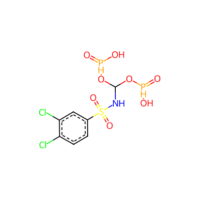 O=[PH](O)OC(NS(=O)(=O)c1ccc(Cl)c(Cl)c1)O[PH](=O)O